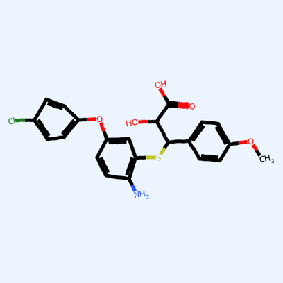 COc1ccc(C(Sc2cc(Oc3ccc(Cl)cc3)ccc2N)C(O)C(=O)O)cc1